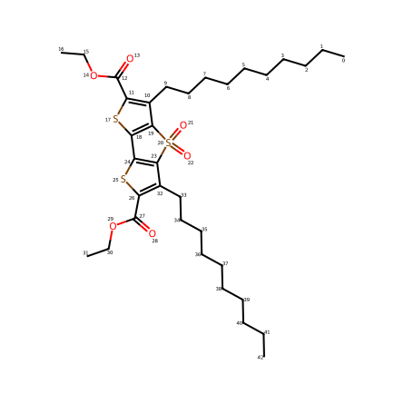 CCCCCCCCCCc1c(C(=O)OCC)sc2c1S(=O)(=O)c1c-2sc(C(=O)OCC)c1CCCCCCCCCC